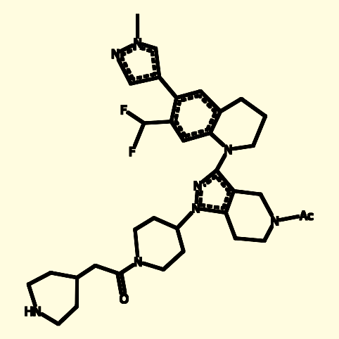 CC(=O)N1CCc2c(c(N3CCCc4cc(-c5cnn(C)c5)c(C(F)F)cc43)nn2C2CCN(C(=O)CC3CCNCC3)CC2)C1